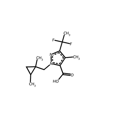 Cc1c(C(C)(F)F)nn(CC2(C)CC2C)c1C(=O)O